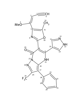 C#C/C=C(/OC)c1nc(-c2c(-c3cn[nH]c3)[nH]c3c(-c4ccccc4)c(C(F)(F)F)nn3c2=O)oc1C